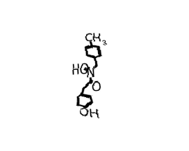 Cc1ccc(CN(O)C(=O)Cc2ccc(O)cc2)cc1